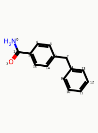 NC(=O)c1ccc(Cc2[c]cccc2)cc1